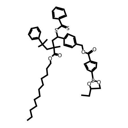 CCCCCCCCCCCCOC(=O)C(C)(CC(SC(=S)c1ccccc1)c1ccc(COC(=O)c2ccc(B3OCC(CC)O3)cc2)cc1)CC(C)(C)c1ccccc1